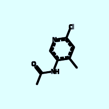 CC(=O)Nc1cnc(Cl)cc1C